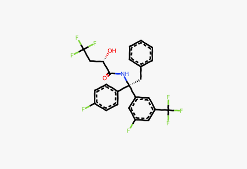 O=C(N[C@](Cc1ccccc1)(c1ccc(F)cc1)c1cc(F)cc(C(F)(F)F)c1)[C@@H](O)CC(F)(F)F